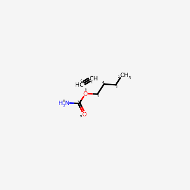 C#C.CCCCOC(N)=O